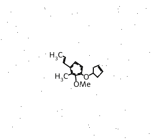 C/C=C/c1ccc(OC2CC=CC2)c(OC)c1C